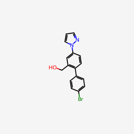 OCc1cc(-n2cccn2)ccc1-c1ccc(Br)cc1